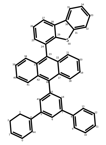 C1=CCCC(c2cc(-c3ccccc3)cc(-c3c4ccccc4c(-c4cccc5c4sc4ccccc45)c4ccccc34)c2)=C1